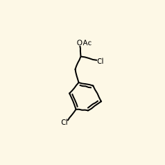 CC(=O)OC(Cl)Cc1cccc(Cl)c1